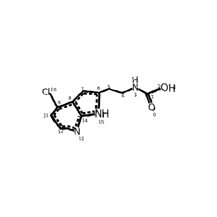 O=C(O)NCCc1cc2c(Cl)ccnc2[nH]1